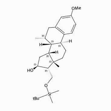 COc1ccc2c(c1)C[C@@H](C)[C@@H]1[C@@H]2CC[C@@]2(C)[C@@H]1C[C@H](O)[C@H]2CO[Si](C)(C)C(C)(C)C